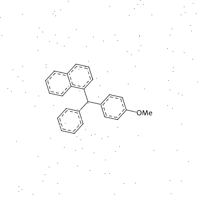 COc1ccc([C](c2ccccc2)c2cccc3ccccc23)cc1